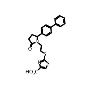 O=C(O)c1csc(SCCN2C(=O)CCC2c2ccc(-c3ccccc3)cc2)n1